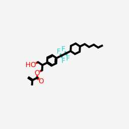 C=C(C)C(=O)OCC(CO)c1ccc(C(F)(F)C(F)(F)C2CCC(CCCCC)CC2)cc1